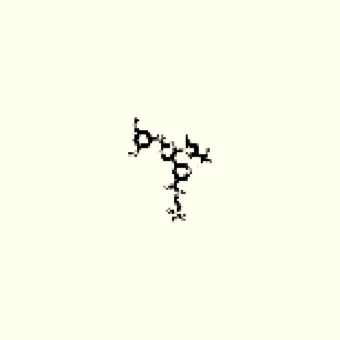 COc1cc(Nc2ncc(-c3cncc(C(=O)NCCS(C)(=O)=O)c3)c(-n3nc(C(F)(F)F)cc3C)n2)cc(OC)c1